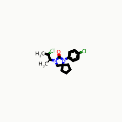 CC(Cl)[C@H](C)N1CC2(CCCC2)N(c2ccc(Cl)cc2)C1=O